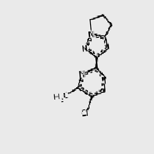 Cc1nc(-c2cc3n(n2)CCC3)ccc1Cl